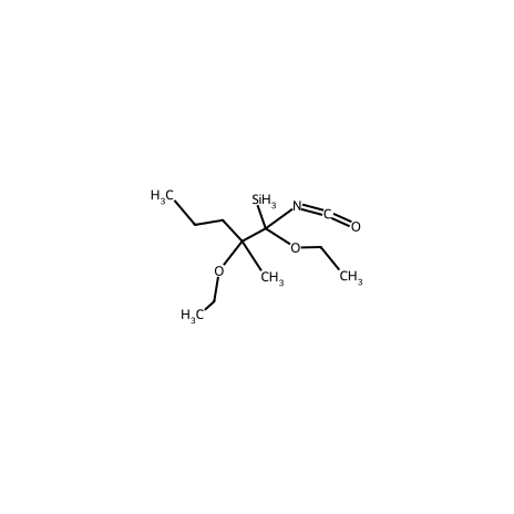 CCCC(C)(OCC)C([SiH3])(N=C=O)OCC